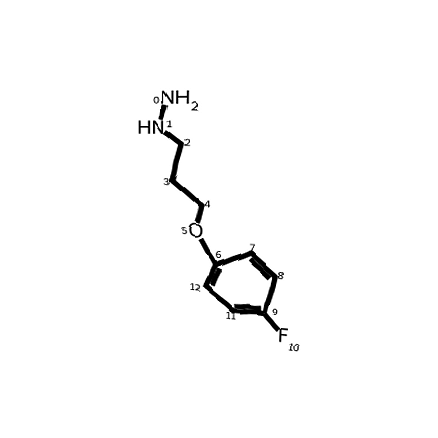 NNCCCOc1ccc(F)cc1